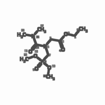 CCOC(=O)CN(CP(=O)(OC)OC)C(=O)N(C)C